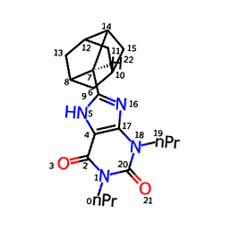 CCCn1c(=O)c2[nH]c([C@H]3C4CC5CC(C4)C3C5)nc2n(CCC)c1=O